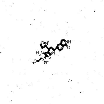 COCC[S+]([O-])c1sc2nc(-c3ccc4c(=O)[nH]ccc4c3)cc(-c3ccnn3C)c2c1N